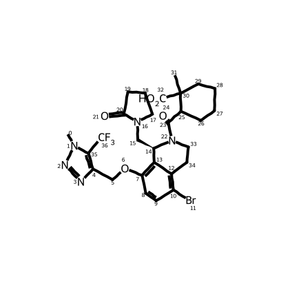 Cn1nnc(COc2ccc(Br)c3c2[C@@H](CN2CCCC2=O)N(C(=O)C2CCCCC2(C)C(=O)O)CC3)c1C(F)(F)F